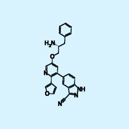 N#Cc1n[nH]c2ccc(-c3cc(OC[C@H](N)Cc4ccccc4)cnc3-c3ccoc3)cc12